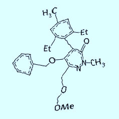 CCc1cc(C)cc(CC)c1-c1c(OCc2ccccc2)c(COCOC)nn(C)c1=O